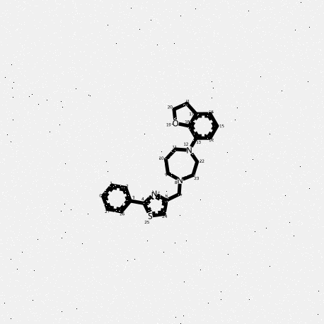 c1ccc(-c2nc(CN3CCCN(c4cccc5c4OCC5)CC3)cs2)cc1